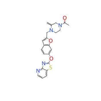 C=C1CN(C(C)=O)CCN1Cc1cc2ccc(Oc3nc4ncccc4s3)cc2o1